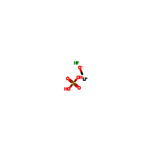 C[O-].F.O=S(=O)(O)O.[Li+]